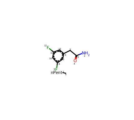 CCCCCC.NC(=O)Cc1cc(F)cc(F)c1